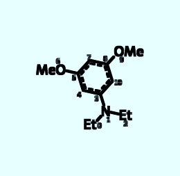 CCN(CC)c1cc(OC)cc(OC)c1